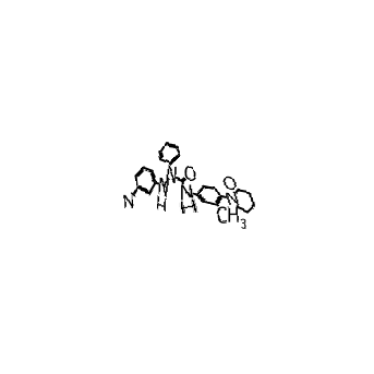 Cc1cc(NC(=O)N(Nc2cccc(C#N)c2)c2ccccc2)ccc1N1CCCCC1=O